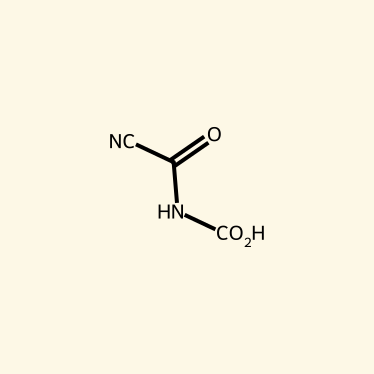 N#CC(=O)NC(=O)O